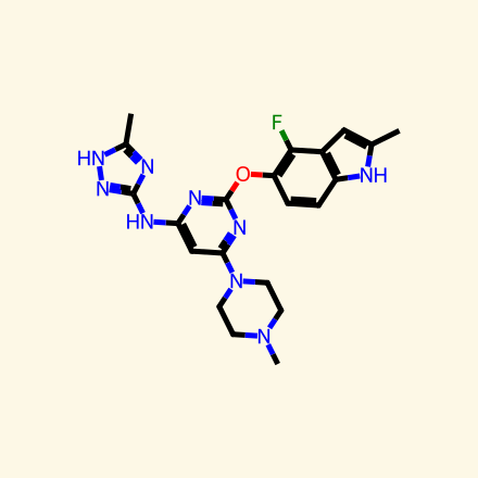 Cc1cc2c(F)c(Oc3nc(Nc4n[nH]c(C)n4)cc(N4CCN(C)CC4)n3)ccc2[nH]1